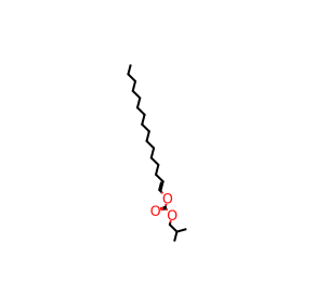 CCCCCCCCCCCCCC/C=C/OC(=O)OCC(C)C